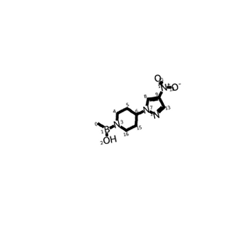 CB(O)N1CCC(n2cc([N+](=O)[O-])cn2)CC1